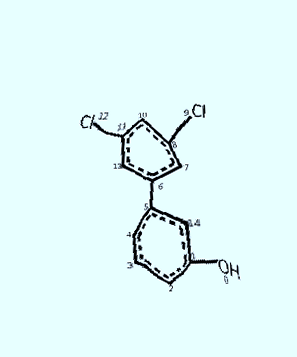 Oc1cccc(-c2cc(Cl)cc(Cl)c2)c1